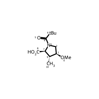 CO[C@@H]1CN(C(=O)C(C)(C)C)[C@H](C(=O)O)[C@H]1C